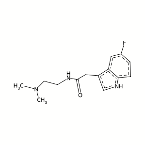 CN(C)CCNC(=O)Cc1c[nH]c2ccc(F)cc12